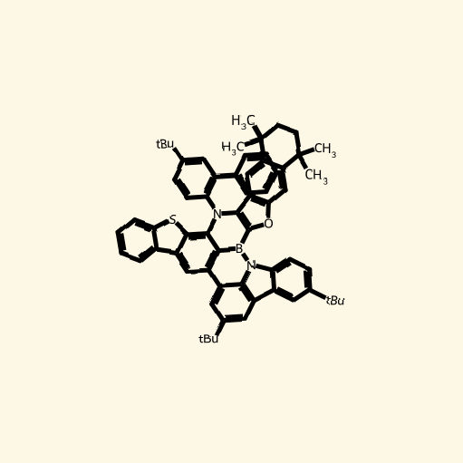 CC(C)(C)c1ccc(N2c3c(oc4cc5c(cc34)C(C)(C)CCC5(C)C)B3c4c(cc5c(sc6ccccc65)c42)-c2cc(C(C)(C)C)cc4c5cc(C(C)(C)C)ccc5n3c24)c(-c2ccccc2)c1